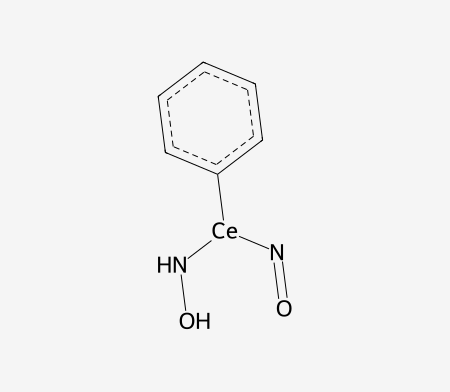 O=[N][Ce]([NH]O)[c]1ccccc1